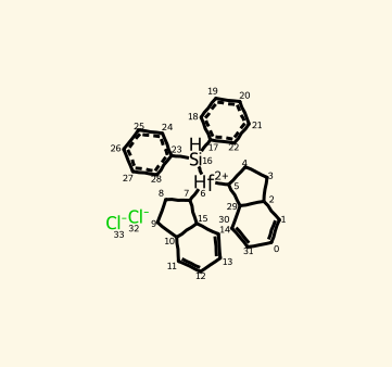 C1=CC2CC[CH]([Hf+2]([CH]3CCC4C=CC=CC43)[SiH](c3ccccc3)c3ccccc3)C2C=C1.[Cl-].[Cl-]